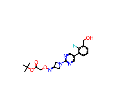 CC(C)(C)OC(=O)CON=C1CN(c2ncc(-c3cccc(CO)c3F)cn2)C1